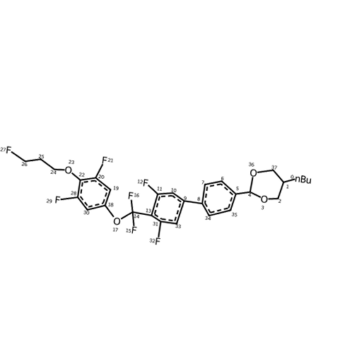 CCCCC1COC(c2ccc(-c3cc(F)c(C(F)(F)Oc4cc(F)c(OCCCF)c(F)c4)c(F)c3)cc2)OC1